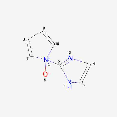 [O-][N+]1(c2ncc[nH]2)C=CC=C1